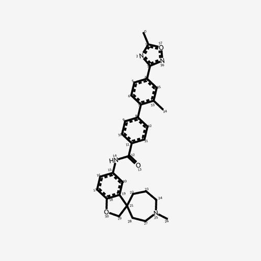 Cc1nc(-c2ccc(-c3ccc(C(=O)Nc4ccc5c(c4)C4(CCCN(C)CC4)CO5)cc3)c(C)c2)no1